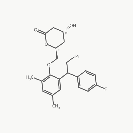 Cc1cc(C)c(OC[C@@H]2C[C@@H](O)CC(=O)O2)c(C(CC(C)C)c2ccc(F)cc2)c1